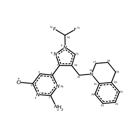 Nc1nc(Cl)cc(-c2nn(C(F)F)cc2CN2CCCc3ccccc32)n1